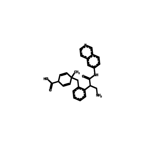 CC1(Cc2ccccc2C(CN)C(=O)Nc2ccc3cnccc3c2)C=CC(C(=O)O)C=C1